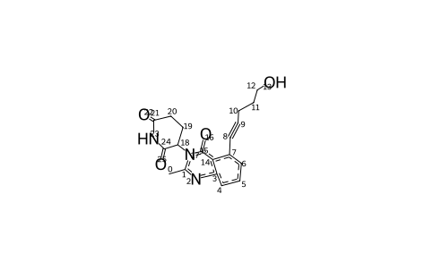 Cc1nc2cccc(C#CCCCO)c2c(=O)n1C1CCC(=O)NC1=O